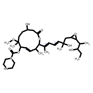 CCC(O)C(C)C1OC1CC(C)(O)/C=C/C=C(\C)C1OC(=O)CC(O)CCC(C)(OC)C(OC(=O)N2CCNCC2)/C=C/C1C